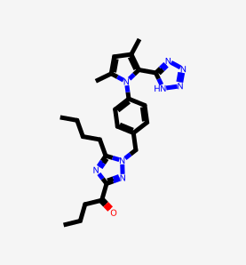 CCCCc1nc(C(=O)CCC)nn1Cc1ccc(-n2c(C)cc(C)c2-c2nnn[nH]2)cc1